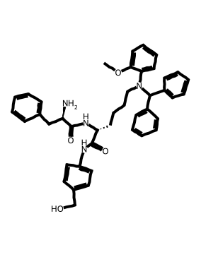 COc1ccccc1N(CCCC[C@@H](NC(=O)[C@H](N)Cc1ccccc1)C(=O)Nc1ccc(CO)cc1)C(c1ccccc1)c1ccccc1